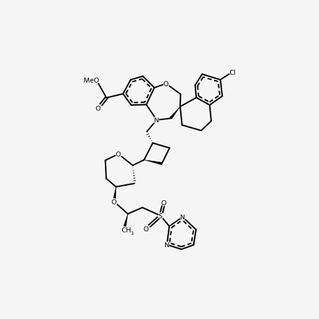 COC(=O)c1ccc2c(c1)N(C[C@@H]1CC[C@H]1[C@@H]1C[C@@H](O[C@H](C)CS(=O)(=O)c3ncccn3)CCO1)C[C@@]1(CCCc3cc(Cl)ccc31)CO2